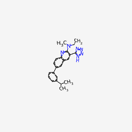 CCN(C)c1nc2ccc(-c3cccc(C(C)C)c3)cc2cc1-c1nnn[nH]1